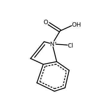 O=C(O)[N+]1(Cl)C=Cc2ccccc21